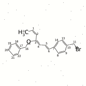 C\C=C/C(=C\C=C\c1ccc(CBr)cc1)OCc1ccccc1